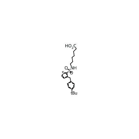 CC(C)(C)c1ccc(Cc2ccsc2S(=O)(=O)NCCCCCCC(=O)O)cc1